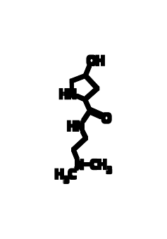 CN(C)CCNC(=O)C1CC(O)CN1